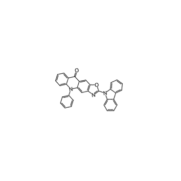 O=c1c2ccccc2n(-c2ccccc2)c2cc3nc(-n4c5ccccc5c5ccccc54)oc3cc12